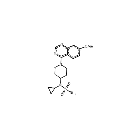 COc1ccc2c(N3CCC(N(C4CC4)S(N)(=O)=O)CC3)ncnc2c1